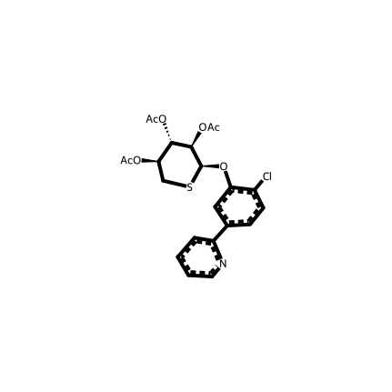 CC(=O)O[C@@H]1[C@@H](OC(C)=O)[C@@H](Oc2cc(-c3ccccn3)ccc2Cl)SC[C@H]1OC(C)=O